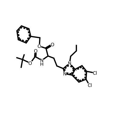 CCCn1c(CCC(NC(=O)OC(C)(C)C)C(=O)OCc2ccccc2)nc2cc(Cl)c(Cl)cc21